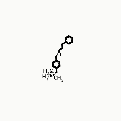 C[Si](C)(C)Cc1ccc(COCCCc2ccccc2)cc1